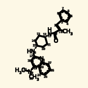 CC(=Cc1ccccc1)C(=O)N[C@H]1CC[C@@H](Nc2cc(N(C)C)c3ccccc3n2)CC1